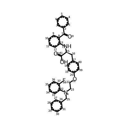 O=C(c1ccccc1)c1ccccc1N[C@@H](Cc1ccc(OCCN(Cc2ccccc2)c2ccccc2F)cc1)C(=O)O